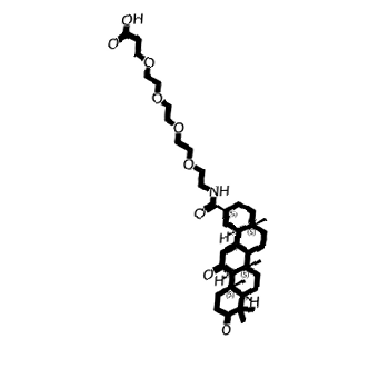 CC1(C)C(=O)CC[C@]2(C)[C@H]3C(=O)C=C4C(CC[C@@]5(C)CC[C@H](C(=O)NCCOCCOCCOCCOCCC(=O)O)C[C@H]45)[C@]3(C)CC[C@@H]12